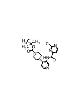 CC(C)(C)OC(=O)N1CCN(c2ccncc2NC(=O)c2ccnc(Cl)n2)CC1